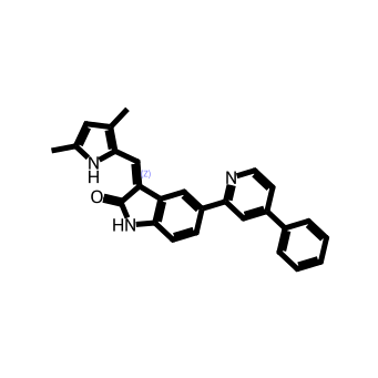 Cc1cc(C)c(/C=C2\C(=O)Nc3ccc(-c4cc(-c5ccccc5)ccn4)cc32)[nH]1